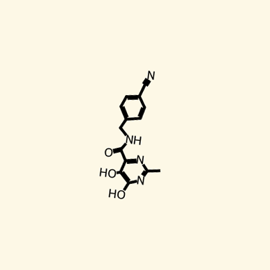 Cc1nc(O)c(O)c(C(=O)NCc2ccc(C#N)cc2)n1